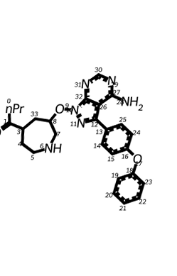 CCCC(=O)C1CCNCC(On2nc(-c3ccc(Oc4ccccc4)cc3)c3c(N)ncnc32)C1